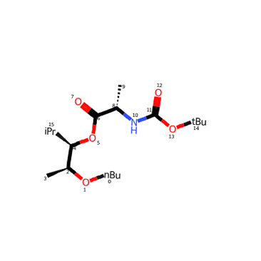 CCCCO[C@@H](C)[C@H](OC(=O)[C@H](C)NC(=O)OC(C)(C)C)C(C)C